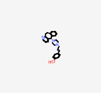 Oc1ccc(/C=C/CN2CCN(C3c4ccccc4CCc4ncccc43)CC2)cc1